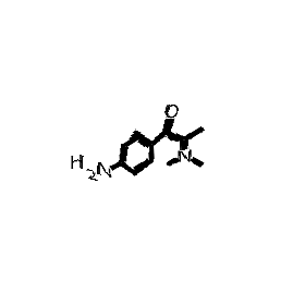 CC(C(=O)c1ccc(N)cc1)N(C)C